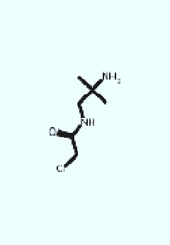 CC(C)(N)CNC(=O)CCl